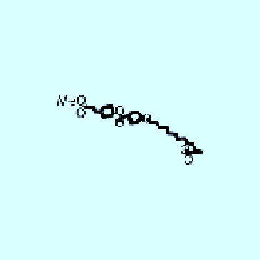 C=C1CC(CCCCCCCCOc2ccc(C(=O)Oc3ccc(/C=C/C(=O)OC)cc3)cc2)OC1=O